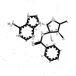 CC1O[C@@H](n2cnc3c(N)ncnc32)[C@](C)(OC(=O)c2ccccc2)[C@@H]1C